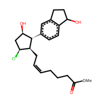 COC(=O)CCC/C=C\C[C@@H]1[C@@H](c2ccc3c(c2)CCC3O)[C@H](O)C[C@@H]1Cl